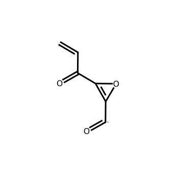 C=CC(=O)C1=C([C]=O)O1